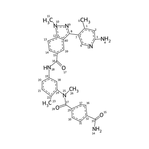 Cc1cc(N)ncc1-c1nn(C)c2ccc(C(=O)Nc3ccc(C)c(N(C)C(=O)c4ccc(C(N)=O)cc4)c3)cc12